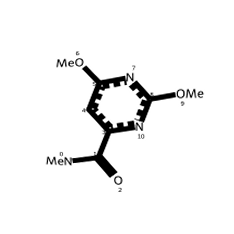 CNC(=O)c1cc(OC)nc(OC)n1